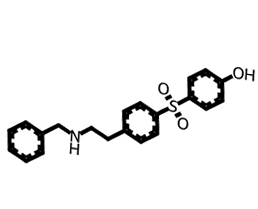 O=S(=O)(c1ccc(O)cc1)c1ccc(CCNCc2ccccc2)cc1